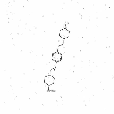 CCCCC[C@H]1CC[C@H](CCc2ccc(CC[C@H]3CC[C@H](CCC)CC3)cc2)CC1